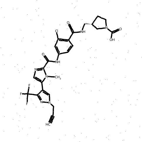 C#CCn1cc(-c2cnc(C(=O)Nc3ccc(C(=O)NC[C@@H]4CCN(C(=O)O)C4)c(Cl)c3)n2C)c(C(F)(F)F)n1